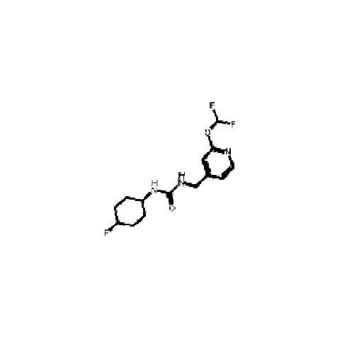 O=C(NCc1ccnc(OC(F)F)c1)NC1CCC(F)CC1